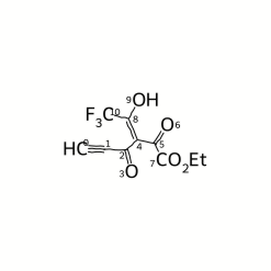 C#CC(=O)/C(C(=O)C(=O)OCC)=C(/O)C(F)(F)F